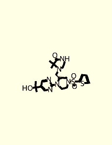 CC(C)(O)c1cnc(N2CCN(S(=O)(=O)c3cccs3)C[C@@H]2CN2CCNC(=O)C2(C)C)nc1